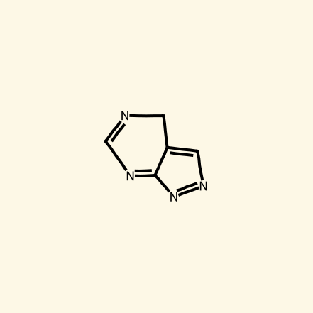 C1=NCC2=CN=NC2=N1